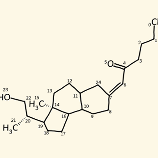 CCCCC(=O)/C=C1/CCC2C(CC[C@@]3(C)C2CCC3[C@H](C)CO)C1